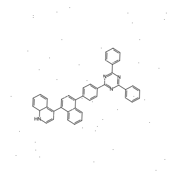 C1=CC2=C(c3ccc(-c4ccc(-c5nc(-c6ccccc6)nc(-c6ccccc6)n5)cc4)c4ccccc34)C=CNC2C=C1